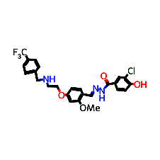 COc1cc(OCCNCc2ccc(C(F)(F)F)cc2)ccc1/C=N/NC(=O)c1ccc(O)c(Cl)c1